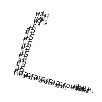 O.O.O.O.O.O.O.O.O.O.O.O.O.O.O.O.O.O.O.O.O.O.O.O.O.O.O.O.O.O.O.O.O.O.O.O.O.O.O.[MgH2].[MgH2].[MgH2].[MgH2].[MgH2].[MgH2].[MgH2].[MgH2].[MgH2].[MgH2].[MgH2]